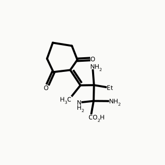 CCC(N)(C(C)=C1C(=O)CCCC1=O)C(N)(N)C(=O)O